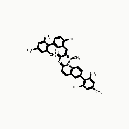 C=C(/C=C\c1cc(-c2c(C)cc(C)cc2C)ccc1C)/N=c1/ccc2cc(-c3c(C)cc(C)cc3C)ccc2n1B(C)F